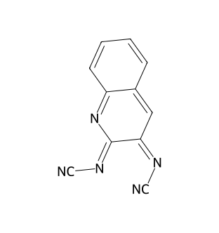 N#CN=C1C=c2ccccc2=NC1=NC#N